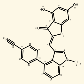 Cn1cc(C=C2Oc3cc(O)cc(O)c3C2=O)c2c(-c3ccc(C#N)cc3)cccc21